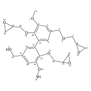 COc1cc(COCC2CO2)cc(-c2cc(CO)cc(OS)c2OCC2CO2)c1OCC1CO1